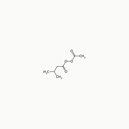 CC(=O)OOC(=O)CC(C)C